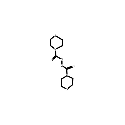 O=C(OOC(=O)N1CCSCC1)N1CCSCC1